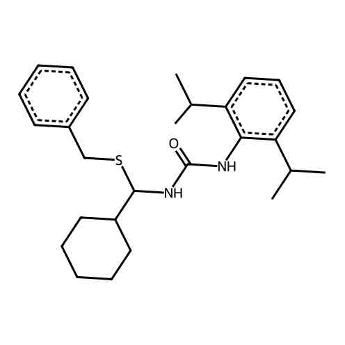 CC(C)c1cccc(C(C)C)c1NC(=O)NC(SCc1ccccc1)C1CCCCC1